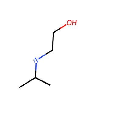 CC(C)[N]CCO